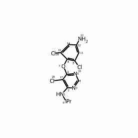 CC(C)Nc1ncnc(Oc2c(Cl)cc(N)cc2Cl)c1Cl